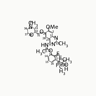 COc1cc2nc(C)nc(NC(C)Oc3cccc(C(F)(F)C(C)(C)O)c3F)c2cc1OC[C@@H]1CN(C)CCO1